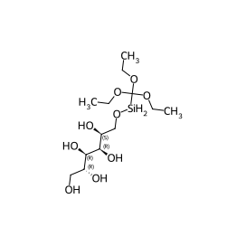 CCOC(OCC)(OCC)[SiH2]OC[C@H](O)[C@@H](O)[C@H](O)[C@H](O)CO